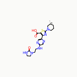 C[C@@H]1CCCN(c2nc(-c3cnc(NCCN4CCNC4=O)cn3)c(C(=O)O)s2)C1